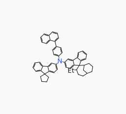 CCC1CCC2CCCC(C2)C12c1ccccc1-c1cc(N(c3ccc(-c4cccc5ccccc45)cc3)c3ccc4c(c3)-c3ccccc3C43CCCC3)ccc12